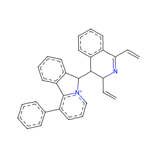 C=CC1=NC(C=C)C(C2c3ccccc3-c3c(-c4ccccc4)ccc[n+]32)c2ccccc21